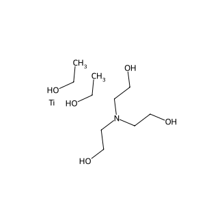 CCO.CCO.OCCN(CCO)CCO.[Ti]